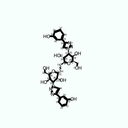 OC[C@H]1O[C@@H](SS[C@@H]2O[C@H](CO)[C@H](O)[C@H](n3cc(-c4cccc(O)c4)nn3)[C@H]2O)[C@H](O)[C@@H](n2cc(-c3cccc(O)c3)nn2)[C@H]1O